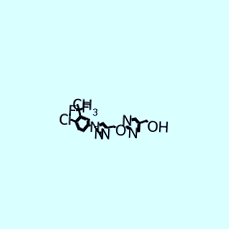 CC(F)(F)c1cc(-n2cc(COc3ncc(CO)cn3)nn2)ccc1Cl